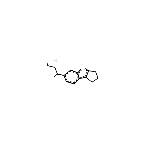 O=C(O)CCC(O)c1ccc2c3c(oc2c1)CCC3